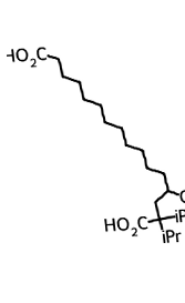 CC(CCCCCCCCCCCC(=O)O)CC(C(=O)O)(C(C)C)C(C)C